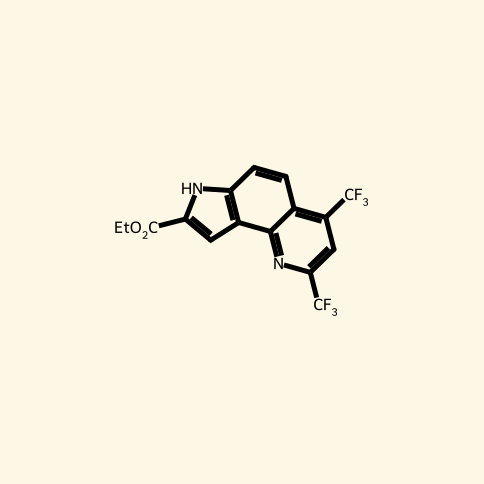 CCOC(=O)c1cc2c(ccc3c(C(F)(F)F)cc(C(F)(F)F)nc32)[nH]1